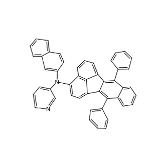 c1ccc(-c2c3c(c(-c4ccccc4)c4ccccc24)-c2ccc(N(c4cccnc4)c4ccc5ccccc5c4)c4cccc-3c24)cc1